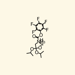 CC(C)OC(CNC(=O)Oc1c(F)c(F)c(F)c(F)c1F)(O[SiH3])OC(C)C